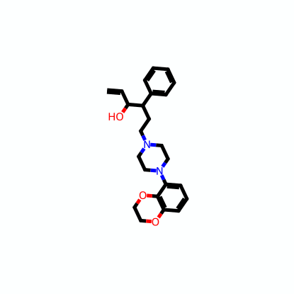 C=CC(O)C(CCN1CCN(c2cccc3c2OCCO3)CC1)c1ccccc1